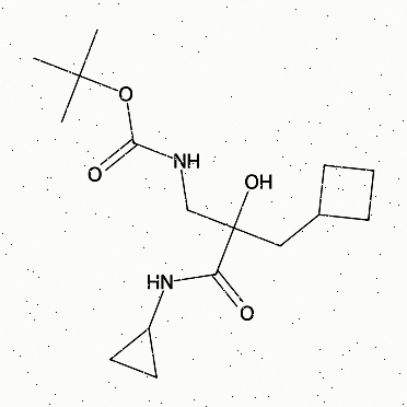 CC(C)(C)OC(=O)NCC(O)(CC1CCC1)C(=O)NC1CC1